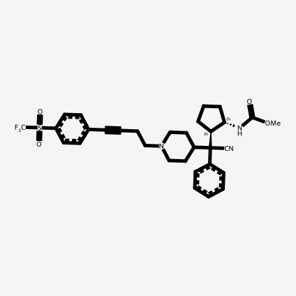 COC(=O)N[C@H]1CCC[C@@H]1C(C#N)(c1ccccc1)C1CCN(CCC#Cc2ccc(S(=O)(=O)C(F)(F)F)cc2)CC1